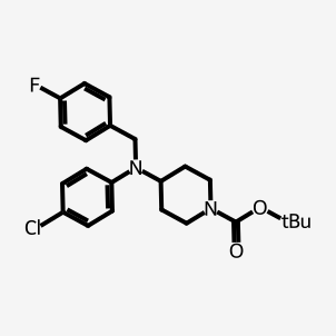 CC(C)(C)OC(=O)N1CCC(N(Cc2ccc(F)cc2)c2ccc(Cl)cc2)CC1